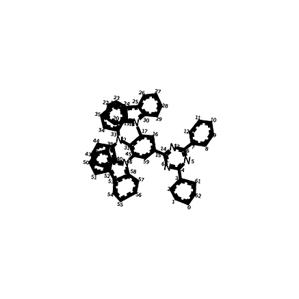 c1ccc(-c2nc(-c3ccccc3)nc(-c3cc(-n4c5ccccc5c5ccccc54)c(N(c4ccccc4)c4ccccc4)c(-n4c5ccccc5c5ccccc54)c3)n2)cc1